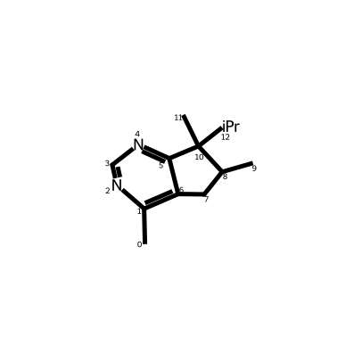 Cc1ncnc2c1CC(C)C2(C)C(C)C